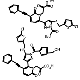 COC(=O)C(=O)Cn1c(-c2cc(SCc3ccc(Cl)s3)n(C(=O)C(C)(C)C)n2)ccc(C#Cc2ccccc2)c1=O.O=C(O)C(=O)Cn1c(-c2cc(NCc3ccc(Cl)s3)n(C(=O)c3ccc(CO)cc3)n2)c(C#Cc2ccccc2)ccc1=O